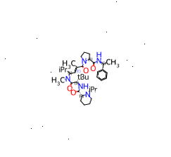 C/C(=C\[C@H](C(C)C)N(C)C(=O)[C@@H](NC(=O)[C@H]1CCCCN1C(C)C)C(C)(C)C)C(=O)N1CCC[C@H]1C(=O)N[C@@H](C)c1ccccc1